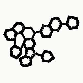 c1ccc(-c2ccc3nc(C4Cc5ccc6cccc7c6c5-c5c4cc4c(c5-c5ccccc5-7)c5ccccc5n4-c4ccccc4)ccc3n2)cc1